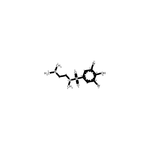 CN(C)CCN(C)S(=O)(=O)c1cc(Br)c(O)c(Br)c1